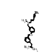 C=C(C)Cc1cccc(COc2cccc(CN(C)CC=CC#CC(C)(C)C)c2)c1